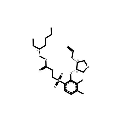 C=CC[C@@H]1COC[C@@H]1Oc1c(S(=O)(=O)CCC(=O)OC[C@H](CC)CCCC)ccc(C)c1F